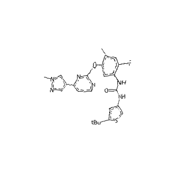 Cc1cc(F)c(NC(=O)Nc2csc(C(C)(C)C)c2)cc1Oc1nccc(-c2cnn(C)c2)n1